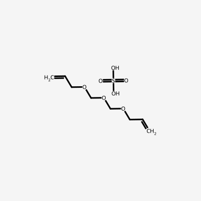 C=CCOCOCOCC=C.O=S(=O)(O)O